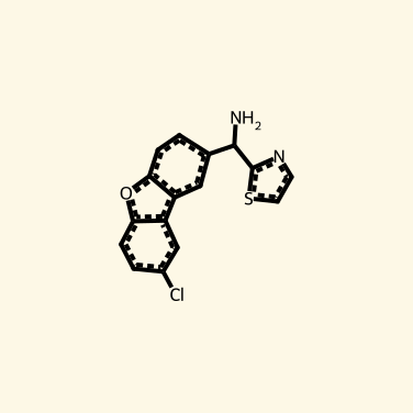 NC(c1ccc2oc3ccc(Cl)cc3c2c1)c1nccs1